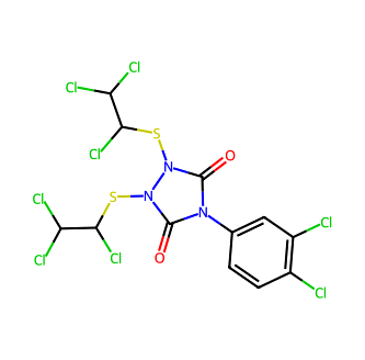 O=c1n(-c2ccc(Cl)c(Cl)c2)c(=O)n(SC(Cl)C(Cl)Cl)n1SC(Cl)C(Cl)Cl